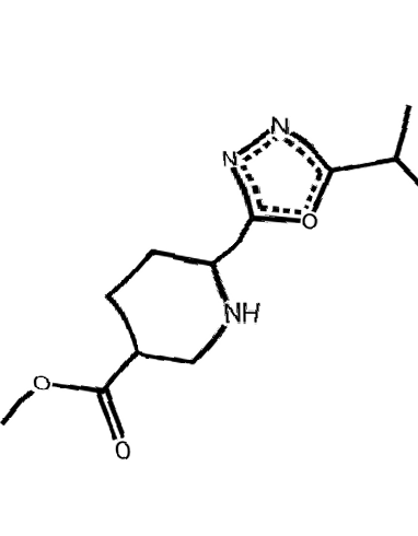 COC(=O)C1CCC(c2nnc(C(C)C)o2)NC1